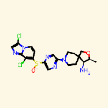 C[C@@H]1OCC2(CCN(c3cnc([S+]([O-])c4ccn5c(Cl)cnc5c4Cl)cn3)CC2)[C@@H]1N